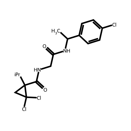 CC(NC(=O)CNC(=O)C1(C(C)C)CC1(Cl)Cl)c1ccc(Cl)cc1